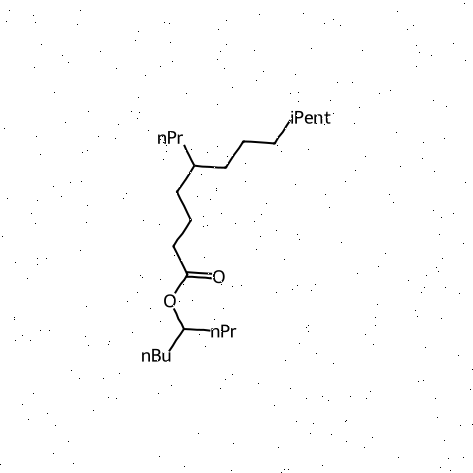 CCCCC(CCC)OC(=O)CCCC(CCC)CCCC(C)CCC